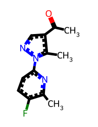 CC(=O)c1cnn(-c2ccc(F)c(C)n2)c1C